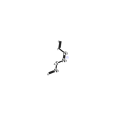 C=C/N=N\SN=C